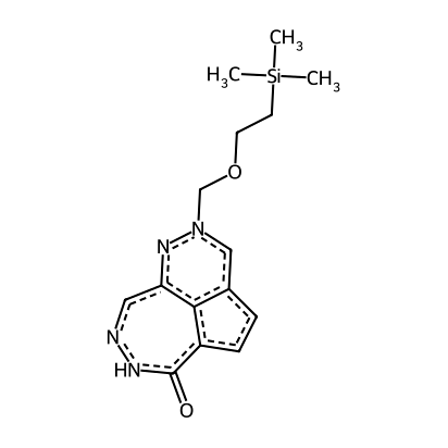 C[Si](C)(C)CCOCn1cc2ccc3c(=O)[nH]ncc(n1)c23